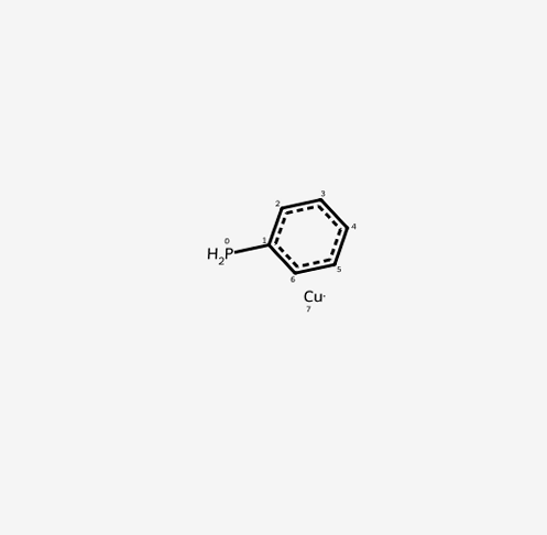 Pc1ccccc1.[Cu]